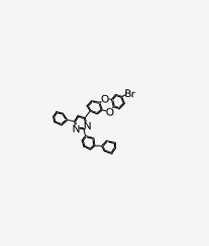 Brc1ccc2c(c1)Oc1ccc(-c3cc(-c4ccccc4)nc(-c4cccc(-c5ccccc5)c4)n3)cc1O2